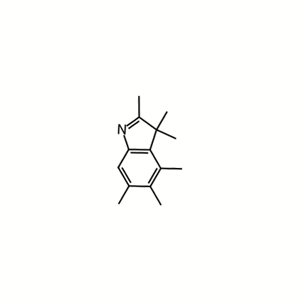 CC1=Nc2cc(C)c(C)c(C)c2C1(C)C